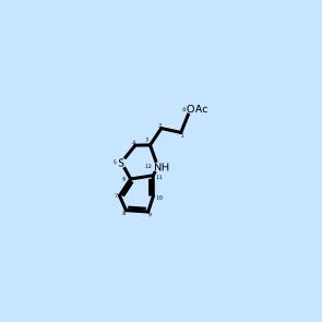 CC(=O)OCCC1CSc2ccccc2N1